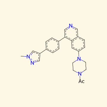 CC(=O)N1CCN(c2ccc3cncc(-c4ccc(-c5cnn(C)c5)cc4)c3c2)CC1